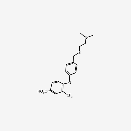 CN(C)CCSCc1ccc(Oc2ccc(C(=O)O)cc2C(F)(F)F)cc1